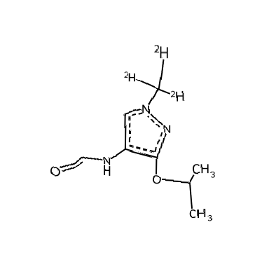 [2H]C([2H])([2H])n1cc(NC=O)c(OC(C)C)n1